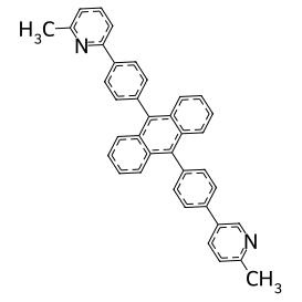 Cc1ccc(-c2ccc(-c3c4ccccc4c(-c4ccc(-c5cccc(C)n5)cc4)c4ccccc34)cc2)cn1